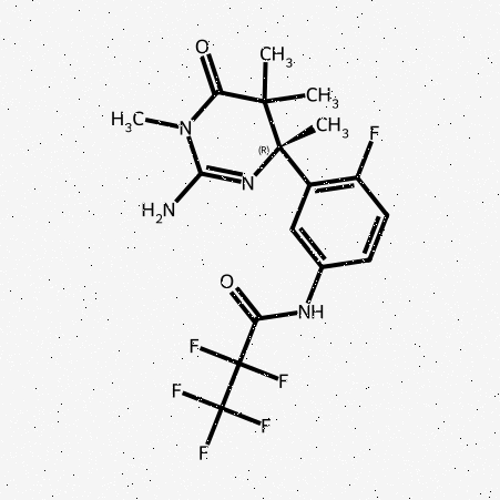 CN1C(=O)C(C)(C)[C@](C)(c2cc(NC(=O)C(F)(F)C(F)(F)F)ccc2F)N=C1N